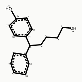 OCCCCC(c1ccccc1)c1ccc(O)cc1